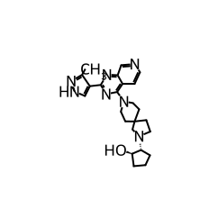 Cc1n[nH]cc1-c1nc(N2CCC3(CC2)CCN([C@@H]2CCC[C@H]2O)C3)c2ccncc2n1